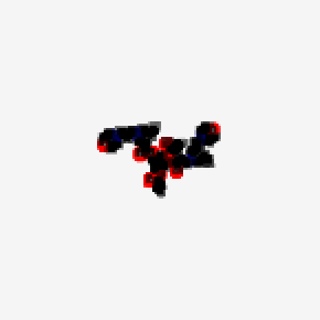 C=CC(=O)OCC(COC(=O)C=C)(COC(=O)CCN(CCC)CCCN1CCOCC1)COC(=O)CCN(CCC)CCCN1CCOCC1